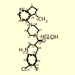 C[C@@H]1CCc2ncnc(N3CCN(C(=O)[C@H](CN)Cc4ccc(Cl)c(F)c4)CC3)c21.Cl.Cl